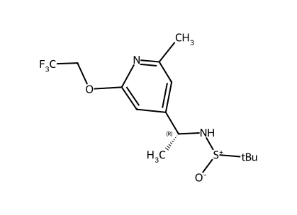 Cc1cc([C@@H](C)N[S+]([O-])C(C)(C)C)cc(OCC(F)(F)F)n1